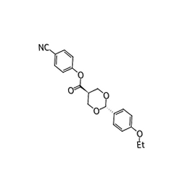 CCOc1ccc([C@H]2OC[C@H](C(=O)Oc3ccc(C#N)cc3)CO2)cc1